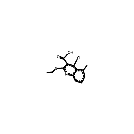 CCSc1nc2cccc(C)c2c(Cl)c1C(=O)O